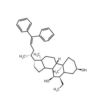 CC[C@@H]1C2C[C@H](O)CC[C@]2(C)[C@H]2CC[C@@]3(C)C(CC[C@@H]3[C@H](C)CC=C(c3ccccc3)c3ccccc3)C2[C@@H]1O